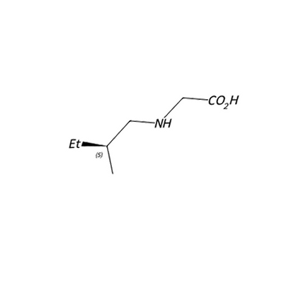 CC[C@H](C)CNCC(=O)O